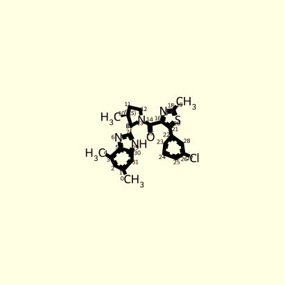 Cc1cc(C)c2nc([C@@H]3[C@@H](C)CCN3C(=O)c3nc(C)sc3-c3cccc(Cl)c3)[nH]c2c1